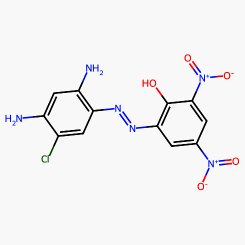 Nc1cc(N)c(N=Nc2cc([N+](=O)[O-])cc([N+](=O)[O-])c2O)cc1Cl